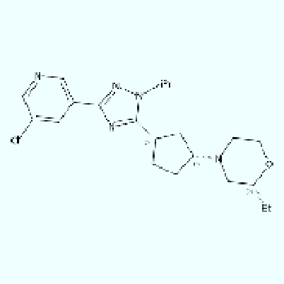 CC[C@@H]1CN([C@@H]2CC[C@H](c3nc(-c4cncc(Cl)c4)nn3C(C)C)C2)CCO1